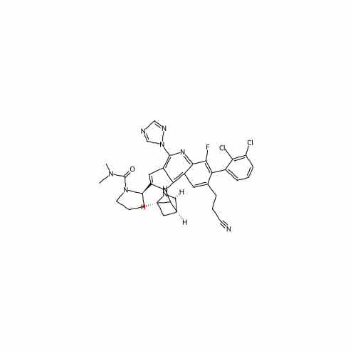 CN(C)C(=O)N1CCC[C@@H]1c1cc2c(-n3cncn3)nc3c(F)c(-c4cccc(Cl)c4Cl)c(CCC#N)cc3c2n1[C@H]1[C@H]2CN[C@@H]1C2